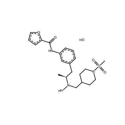 CCCN(CC1CCN(S(C)(=O)=O)CC1)[C@@H](C)Cc1cccc(NC(=O)c2ccco2)c1.Cl